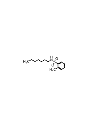 CCCCCCCNS(=O)(=O)c1ccccc1C